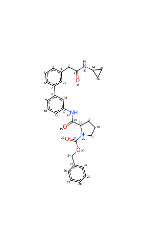 O=C(Cc1cccc(-c2cccc(NC(=O)C3CCCN3C(=O)OCc3ccccc3)c2)c1)NC1CC1